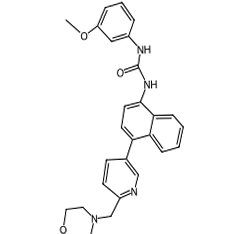 COc1cccc(NC(=O)Nc2ccc(-c3ccc(CN4CCOCC4)nc3)c3ccccc23)c1